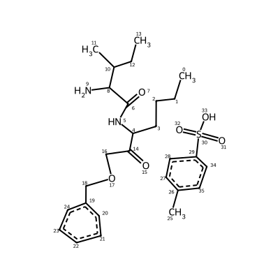 CCCCC(NC(=O)C(N)C(C)CC)C(=O)COCc1ccccc1.Cc1ccc(S(=O)(=O)O)cc1